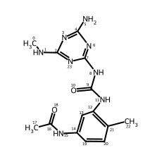 CNc1nc(N)nc(NC(=O)Nc2cc(NC(C)=O)ccc2C)n1